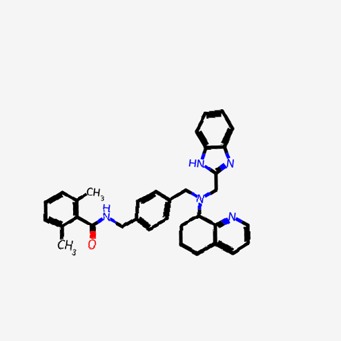 Cc1cccc(C)c1C(=O)NCc1ccc(CN(Cc2nc3ccccc3[nH]2)C2CCCc3cccnc32)cc1